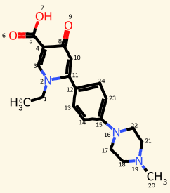 CCn1cc(C(=O)O)c(=O)cc1-c1ccc(N2CCN(C)CC2)cc1